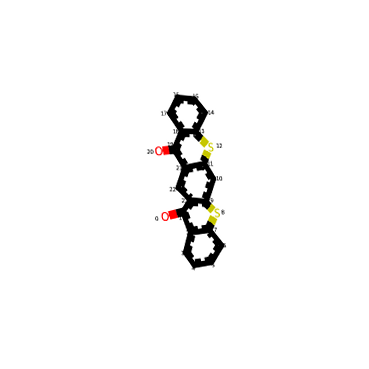 O=c1c2ccccc2sc2cc3sc4ccccc4c(=O)c3cc12